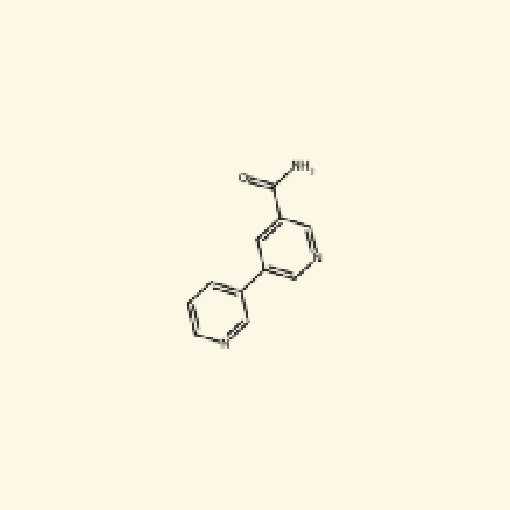 NC(=O)c1cncc(-c2cccnc2)c1